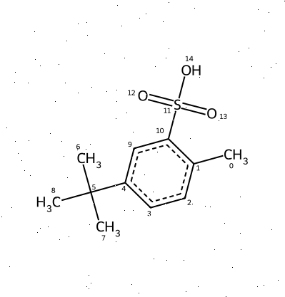 Cc1ccc(C(C)(C)C)cc1S(=O)(=O)O